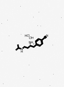 CC(C)NCC[C@H](N)Cc1ccc(C#N)cc1.Cl.Cl